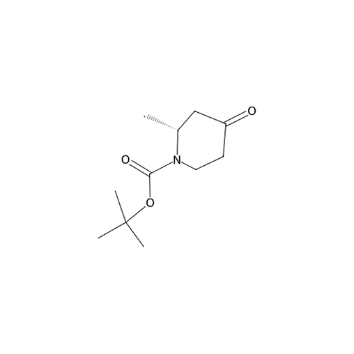 [CH2][C@@H]1CC(=O)CCN1C(=O)OC(C)(C)C